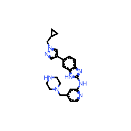 c1cc(CN2CCNCC2)cc(Nc2nc3ccc(-c4cnn(CC5CC5)c4)cc3[nH]2)n1